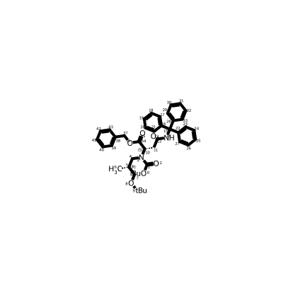 CC(C)COC(=O)N(C[C@@H](C)COC(C)(C)C)[C@@H](CC(=O)NC(c1ccccc1)(c1ccccc1)c1ccccc1)C(=O)OCc1ccccc1